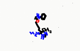 Cc1ncnc(N)c1CCCOc1ccnn1-c1ccccc1